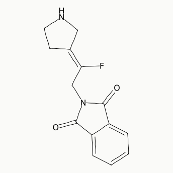 O=C1c2ccccc2C(=O)N1CC(F)=C1CCNC1